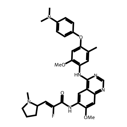 COc1cc2ncnc(Nc3cc(C)c(Oc4ccc(N(C)C)cc4)cc3OC)c2cc1NC(=O)C(F)=CC1CCCN1C